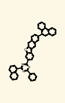 c1ccc(-c2nc(-c3ccc4c(c3)oc3cc5ccc(-c6cc7ccccc7c7ccccc67)cc5cc34)nc(-c3cccc4ccccc34)n2)cc1